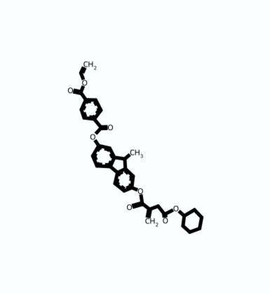 C=COC(=O)c1ccc(C(=O)Oc2ccc3c(c2)C(C)c2cc(OC(=O)C(=C)CC(=O)OC4CCCCC4)ccc2-3)cc1